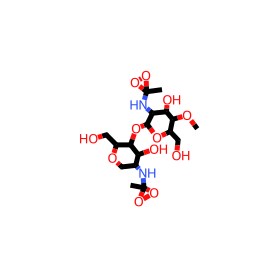 COC1C(CO)OC(OC2C(CO)OCC(NC3(C)OO3)C2O)C(NC2(C)OO2)C1O